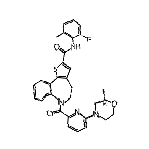 Cc1cccc(F)c1NC(=O)c1cc2c(s1)-c1ccccc1N(C(=O)c1cccc(N3CCO[C@H](C)C3)n1)CC2